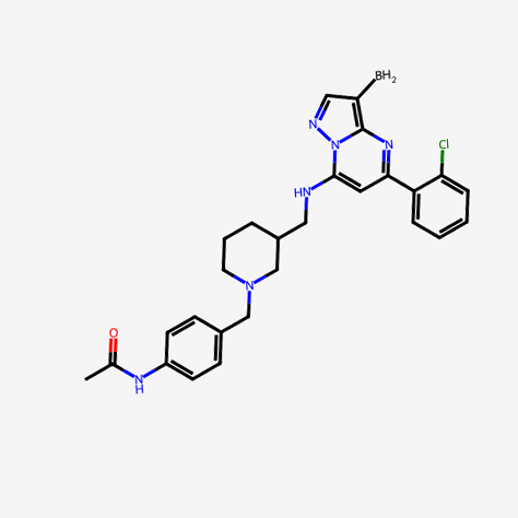 Bc1cnn2c(NCC3CCCN(Cc4ccc(NC(C)=O)cc4)C3)cc(-c3ccccc3Cl)nc12